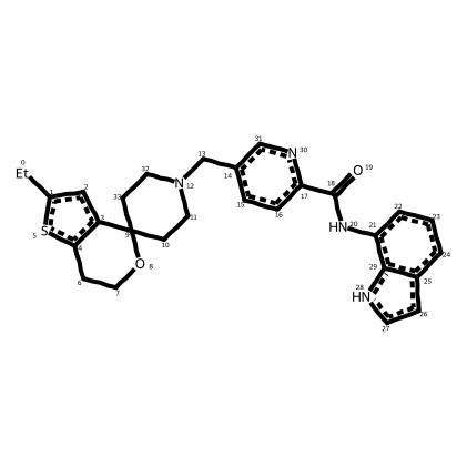 CCc1cc2c(s1)CCOC21CCN(Cc2ccc(C(=O)Nc3cccc4cc[nH]c34)nc2)CC1